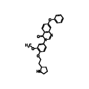 COc1cc(-n2cnc3cc(Oc4ccccc4)ccc3c2=O)ccc1OCCC1CCCN1